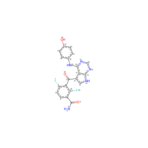 NC(=O)c1ccc(F)c(C(=O)c2c[nH]c3ncnc(Nc4ccc(O)cc4)c23)c1F